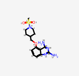 CS(=O)(=O)N1CCC(COc2cccc3nc(N)nc(N)c23)CC1